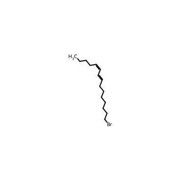 CCCC/C=C\C=C\CCCCCCCBr